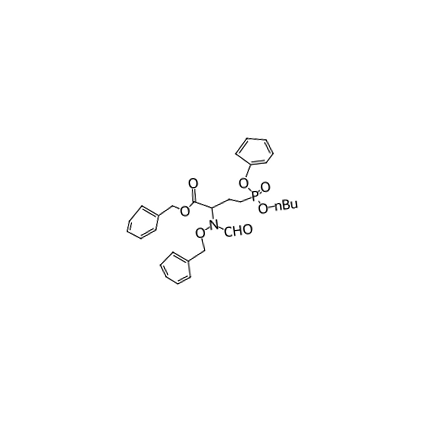 CCCCOP(=O)(CCC(C(=O)OCc1ccccc1)N(C=O)OCc1ccccc1)Oc1ccccc1